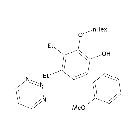 CCCCCCOc1c(O)ccc(CC)c1CC.COc1ccccc1.c1cnnnc1